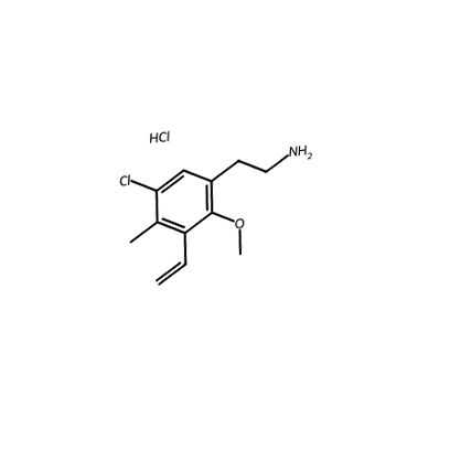 C=Cc1c(C)c(Cl)cc(CCN)c1OC.Cl